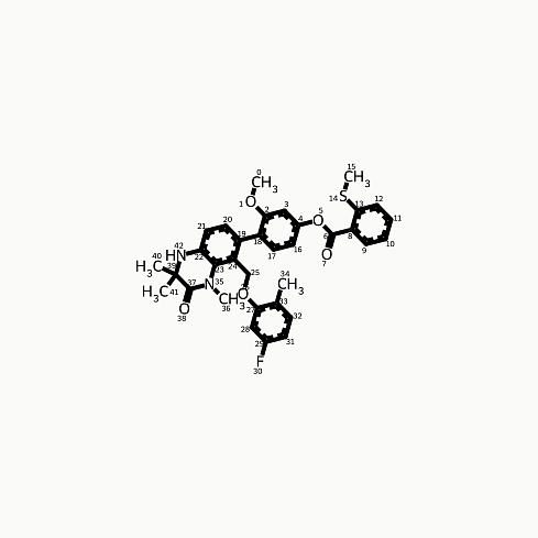 COc1cc(OC(=O)c2ccccc2SC)ccc1-c1ccc2c(c1COc1cc(F)ccc1C)N(C)C(=O)C(C)(C)N2